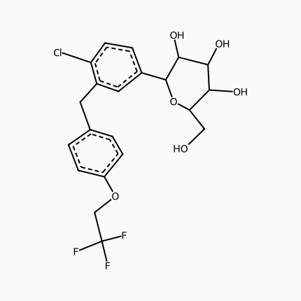 OCC1OC(c2ccc(Cl)c(Cc3ccc(OCC(F)(F)F)cc3)c2)C(O)C(O)C1O